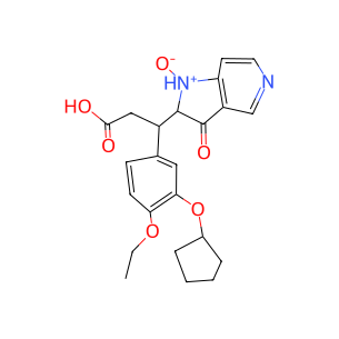 CCOc1ccc(C(CC(=O)O)C2C(=O)c3cnccc3[NH+]2[O-])cc1OC1CCCC1